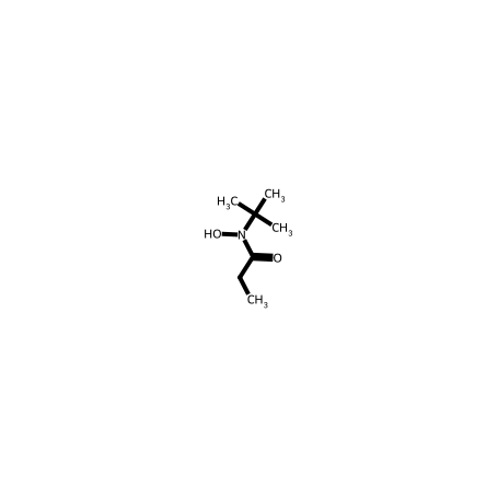 CCC(=O)N(O)C(C)(C)C